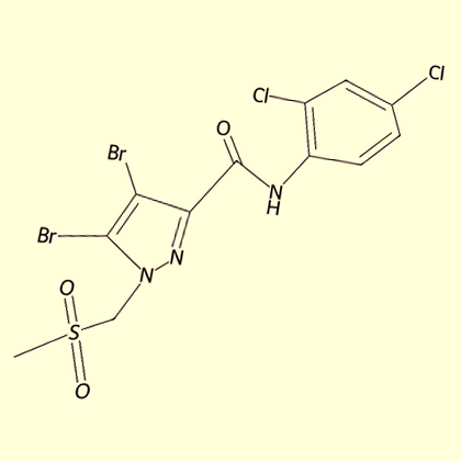 CS(=O)(=O)Cn1nc(C(=O)Nc2ccc(Cl)cc2Cl)c(Br)c1Br